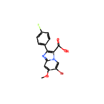 COc1cc2nc(-c3ccc(F)cc3)c(C(=O)O)n2cc1Br